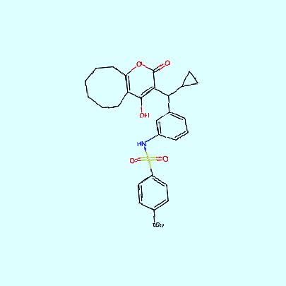 CC(C)(C)c1ccc(S(=O)(=O)Nc2cccc(C(c3c(O)c4c(oc3=O)CCCCCC4)C3CC3)c2)cc1